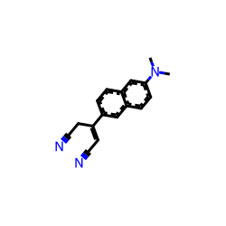 CN(C)c1ccc2cc(C(=CC#N)CC#N)ccc2c1